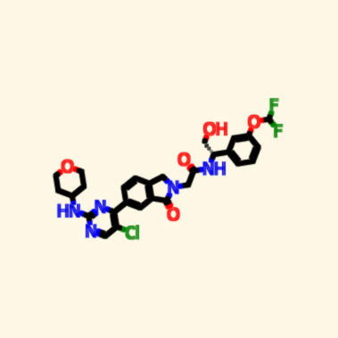 O=C(CN1Cc2ccc(-c3nc(NC4CCOCC4)ncc3Cl)cc2C1=O)N[C@H](CO)c1cccc(OC(F)F)c1